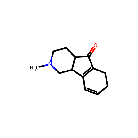 CN1CCC2C(=O)C3=C(C=CCC3)C2C1